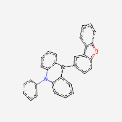 c1ccc(N2c3ccccc3B(c3ccc4oc5ccccc5c4c3)c3ccccc32)cc1